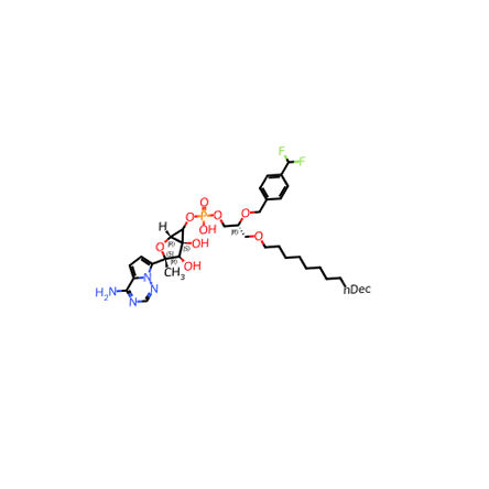 CCCCCCCCCCCCCCCCCCOC[C@H](COP(=O)(O)OC1[C@H]2O[C@@](C)(c3ccc4c(N)ncnn34)[C@H](O)[C@@]12O)OCc1ccc(C(F)F)cc1